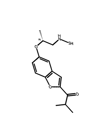 CC(C)C(=O)c1cc2cc(O[C@H](C)CNS)ccc2o1